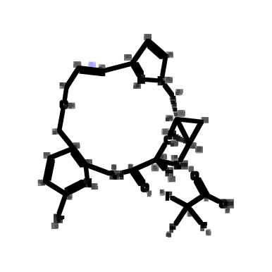 O=C(O)C(F)(F)F.O=C1Nc2nc(Br)ccc2COC/C=C/c2ccn(n2)C[C@@]23C[C@@H]1N[C@@H]2C3